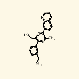 Cc1nc(-c2cccc(CN)c2)c(CO)nc1-c1ccc2cccnc2c1